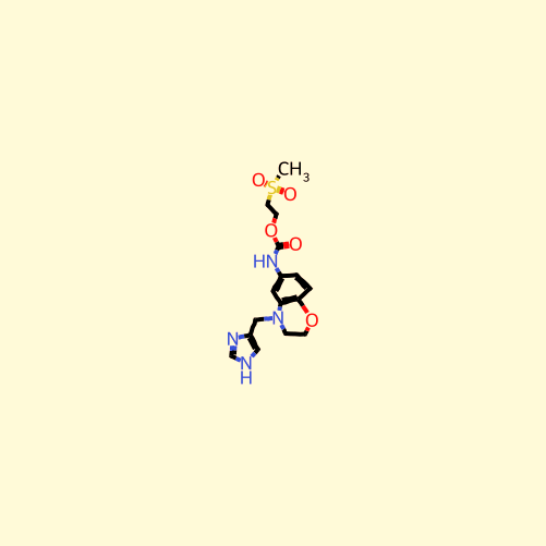 CS(=O)(=O)CCOC(=O)Nc1ccc2c(c1)N(Cc1c[nH]cn1)CCO2